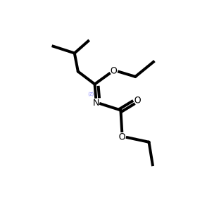 CCOC(=O)/N=C(/CC(C)C)OCC